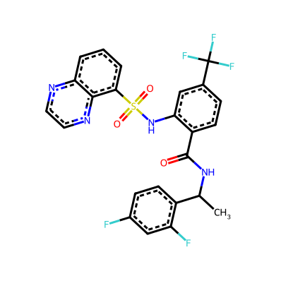 CC(NC(=O)c1ccc(C(F)(F)F)cc1NS(=O)(=O)c1cccc2nccnc12)c1ccc(F)cc1F